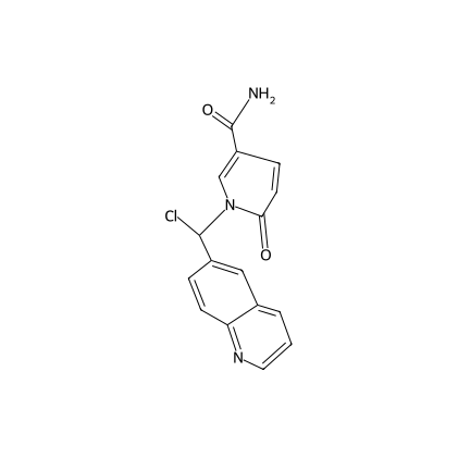 NC(=O)c1ccc(=O)n(C(Cl)c2ccc3ncccc3c2)c1